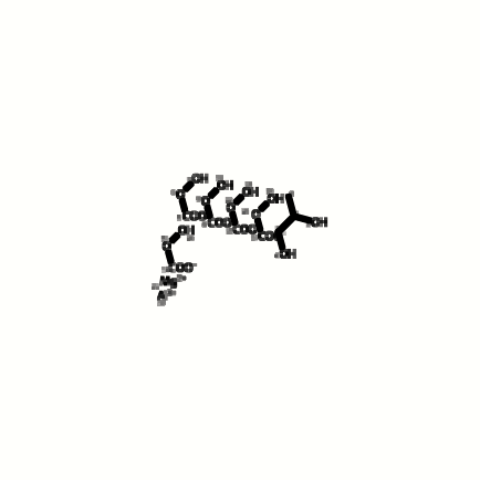 CC(O)CO.O=C([O-])OO.O=C([O-])OO.O=C([O-])OO.O=C([O-])OO.O=C([O-])OO.[Al+3].[Mg+2]